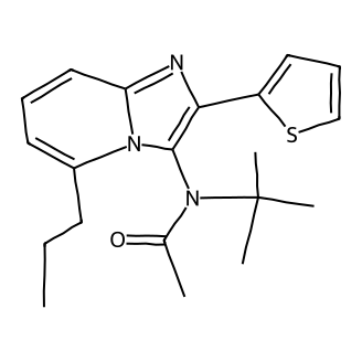 CCCc1cccc2nc(-c3cccs3)c(N(C(C)=O)C(C)(C)C)n12